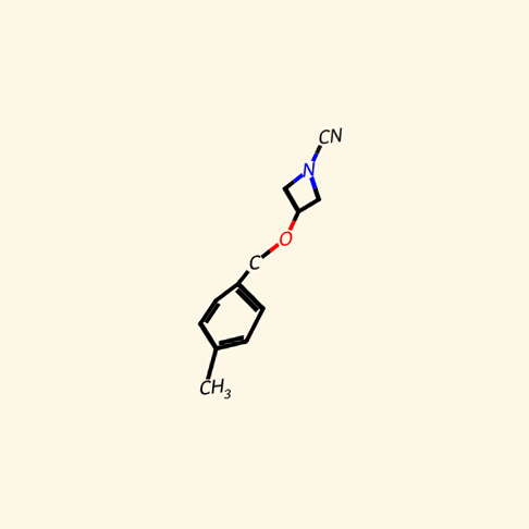 Cc1ccc(COC2CN(C#N)C2)cc1